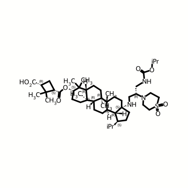 CC(C)OC(=O)NC[C@@H](CN[C@]12CC[C@@H](C(C)C)[C@@H]1[C@H]1CC[C@@H]3[C@@]4(C)CC[C@H](OC(=O)[C@H]5C[C@@H](C(=O)O)C5(C)C)C(C)(C)[C@@H]4CC[C@@]3(C)[C@]1(C)CC2)N1CCS(=O)(=O)CC1